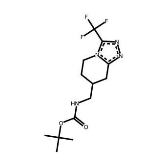 CC(C)(C)OC(=O)NCC1CCn2c(nnc2C(F)(F)F)C1